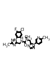 Cc1ccc(-n2ncnc2CN(C)C(=O)NCc2nc(C)nn2-c2ccc(Cl)c(F)c2)cn1